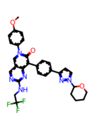 COc1ccc(-n2cc3cnc(NCC(F)(F)F)nc3c(-c3ccc(-c4ccn(C5CCCCO5)n4)cc3)c2=O)cc1